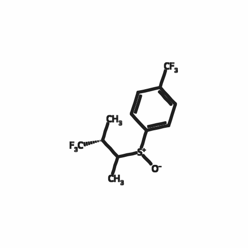 CC([C@@H](C)C(F)(F)F)[S+]([O-])c1ccc(C(F)(F)F)cc1